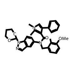 COc1cccc(CN(C(=O)c2c(-c3ccccc3)cn(C)c2C)c2ccc3c(cnn3C3CCCCO3)c2)c1C